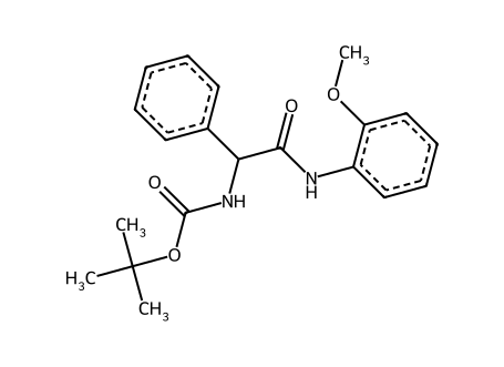 COc1ccccc1NC(=O)C(NC(=O)OC(C)(C)C)c1ccccc1